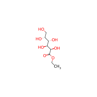 CCOC(=O)[C@H](O)[C@@H](O)[C@@H](O)[C@H](O)CO